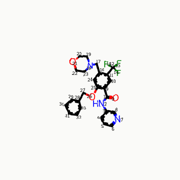 O=C(Nc1cccnc1)c1cc(C(F)(F)F)c(CN2CCOCC2)cc1OCc1ccccc1